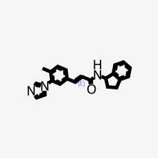 Cc1ccc(/C=C/C(=O)NC2CCc3ccccc32)cc1-n1ccnc1